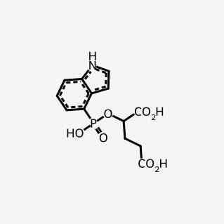 O=C(O)CCC(OP(=O)(O)c1cccc2[nH]ccc12)C(=O)O